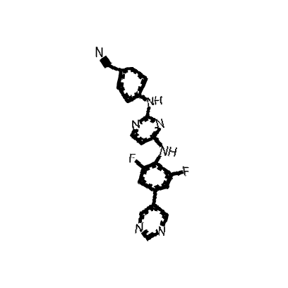 N#Cc1ccc(Nc2nccc(Nc3c(F)cc(-c4cncnc4)cc3F)n2)cc1